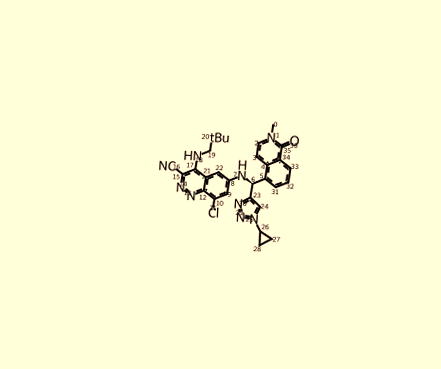 Cn1ccc2c([C@H](Nc3cc(Cl)c4nnc(C#N)c(NCC(C)(C)C)c4c3)c3cn(C4CC4)nn3)cccc2c1=O